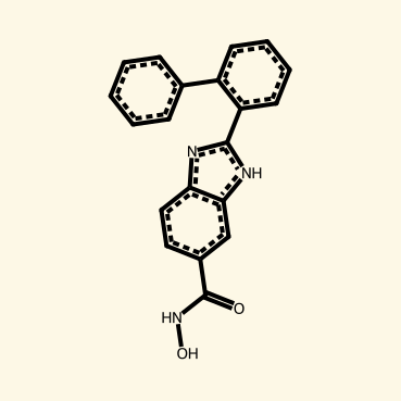 O=C(NO)c1ccc2nc(-c3ccccc3-c3ccccc3)[nH]c2c1